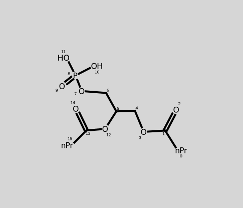 CCCC(=O)OCC(COP(=O)(O)O)OC(=O)CCC